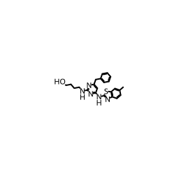 Cc1ccc2nc(Nc3cc(Cc4ccccc4)nc(NCCCCO)n3)sc2c1